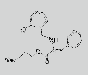 CCCCCCCCCCCCOC(=O)[C@H](Cc1ccccc1)NCc1ccccc1O